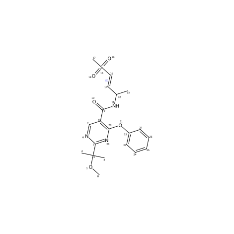 COC(C)(C)c1ncc(C(=O)NC(C)/C=C/S(C)(=O)=O)c(Oc2ccccc2)n1